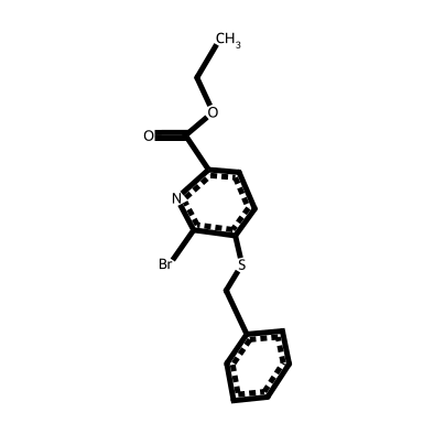 CCOC(=O)c1ccc(SCc2ccccc2)c(Br)n1